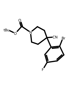 CC(C)(C)OC(=O)N1CCC(C#N)(c2cc(F)ccc2Br)CC1